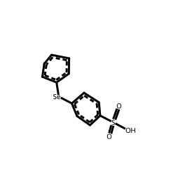 O=S(=O)(O)c1ccc([Se]c2ccccc2)cc1